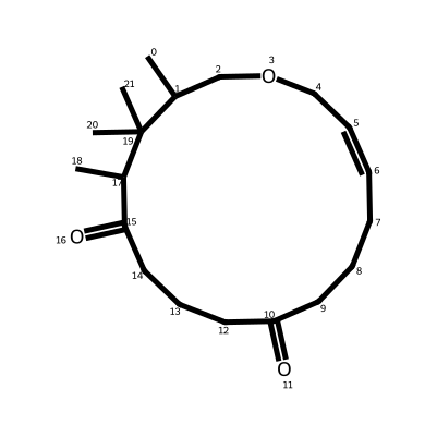 CC1COCC=CCCCC(=O)CCCC(=O)C(C)C1(C)C